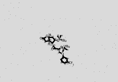 CC(C)(C)[Si](C)(C)O[C@@H](COc1cccc(C(F)(F)F)c1)C1O[C@@H]1[C@@H]1[C@H]2CC(=O)O[C@H]2C[C@H]1O[Si](C)(C)C(C)(C)C